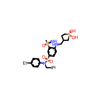 CCc1ccc(N(CC(C)C)S(=O)(=O)c2ccc(NCC3CCS(O)(O)C3)c(S(C)(=N)=O)c2)cc1